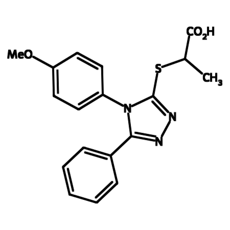 COc1ccc(-n2c(SC(C)C(=O)O)nnc2-c2ccccc2)cc1